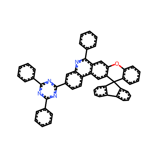 c1ccc(-c2nc(-c3ccccc3)nc(-c3ccc4c(c3)nc(-c3ccccc3)c3cc5c(cc34)C3(c4ccccc4O5)c4ccccc4-c4ccccc43)n2)cc1